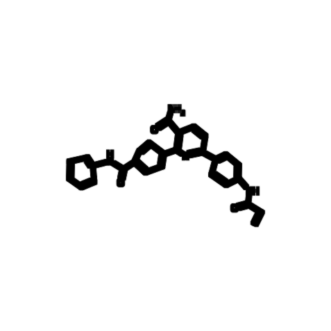 C=CC(=O)Nc1ccc(-c2ccc(C(N)=O)c(-c3ccc(C(=O)Nc4ccccc4)cc3)n2)cc1